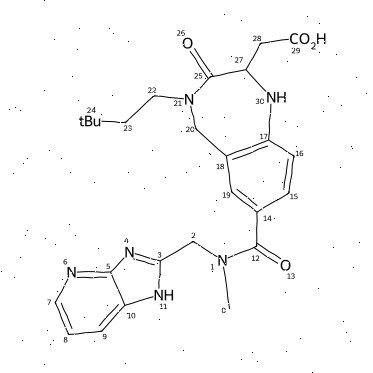 CN(Cc1nc2ncccc2[nH]1)C(=O)c1ccc2c(c1)CN(CCC(C)(C)C)C(=O)C(CC(=O)O)N2